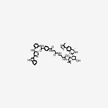 Cc1ncsc1-c1ccc([C@H](C)NC(=O)[C@@H]2C[C@@H](O)CN2C(=O)[C@@H](NC(=O)CCCNC(=O)CNC(=O)c2ccc(C(=O)Nc3cccc(Nc4cc(-c5c[nH]c6ccccc56)ncn4)c3)cc2)C(C)(C)C)cc1